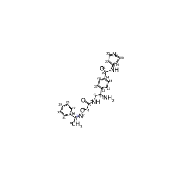 C/C(=N/OCC(=O)NCC(N)c1ccc(C(=O)Nc2ccncc2)cc1)c1ccccc1